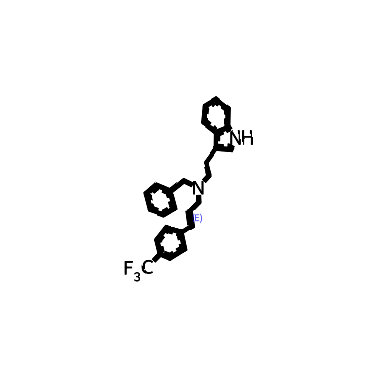 FC(F)(F)c1ccc(/C=C/CN(CCc2c[nH]c3ccccc23)Cc2ccccc2)cc1